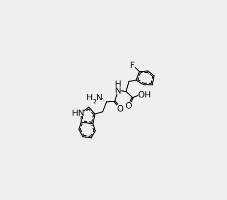 N[C@@H](Cc1c[nH]c2ccccc12)C(=O)NC(Cc1ccccc1F)C(=O)O